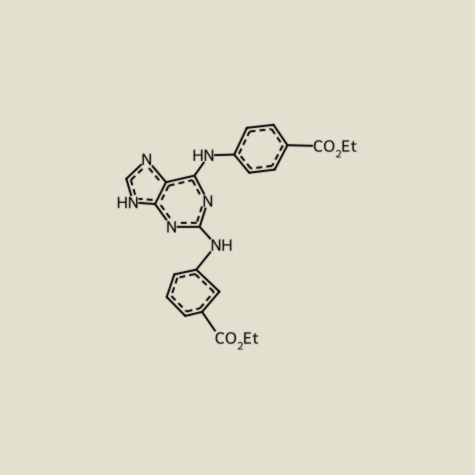 CCOC(=O)c1ccc(Nc2nc(Nc3cccc(C(=O)OCC)c3)nc3[nH]cnc23)cc1